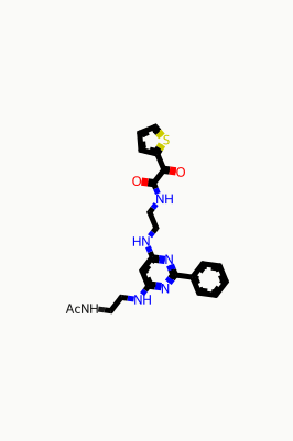 CC(=O)NCCNc1cc(NCCNC(=O)C(=O)c2cccs2)nc(-c2ccccc2)n1